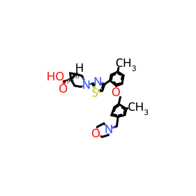 Cc1ccc(OCc2ccc(CN3CCOCC3)cc2C)c(-c2csc(N3CC[C@]4(C(=O)O)C[C@@H]4C3)n2)c1